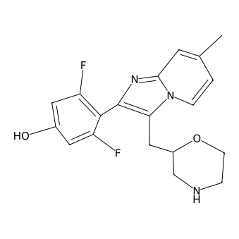 Cc1ccn2c(CC3CNCCO3)c(-c3c(F)cc(O)cc3F)nc2c1